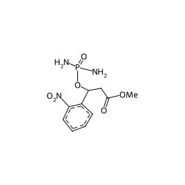 COC(=O)CC(OP(N)(N)=O)c1ccccc1[N+](=O)[O-]